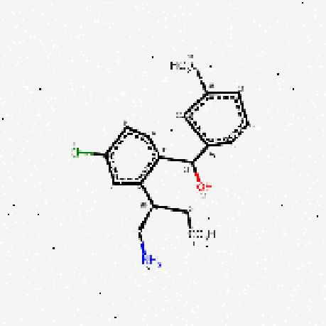 NC[C@H](CC(=O)O)c1cc(Cl)ccc1C(O)c1cccc(C(=O)O)c1